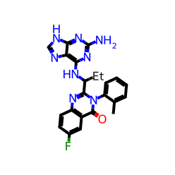 CCC(Nc1nc(N)nc2[nH]cnc12)c1nc2ccc(F)cc2c(=O)n1-c1ccccc1C